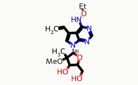 C=Cc1cn([C@@H]2OC(CO)C(O)C2(C)OC)c2ncnc(NOCC)c12